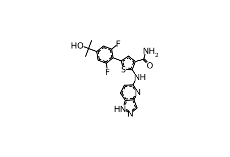 CC(C)(O)c1cc(F)c(-c2cc(C(N)=O)c(Nc3ccc4[nH]ncc4n3)s2)c(F)c1